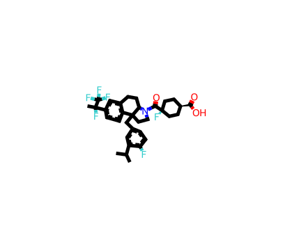 CC(C)c1cc(CC23CCN(C(=O)[C@]4(F)CC[C@@H](C(=O)O)CC4)C2CCc2cc(C(C)(F)C(F)(F)F)ccc23)ccc1F